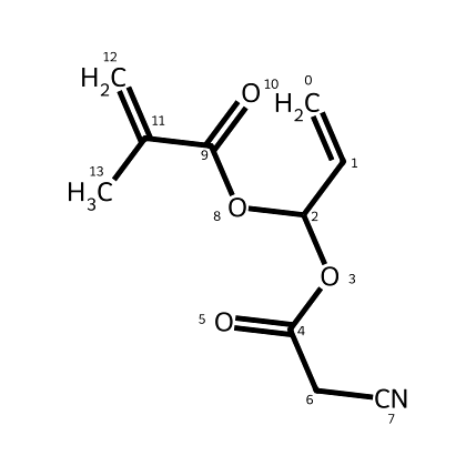 C=CC(OC(=O)CC#N)OC(=O)C(=C)C